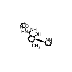 Cc1ccc(C(=N)Nc2ncco2)c(O)c1C#Cc1cccnn1